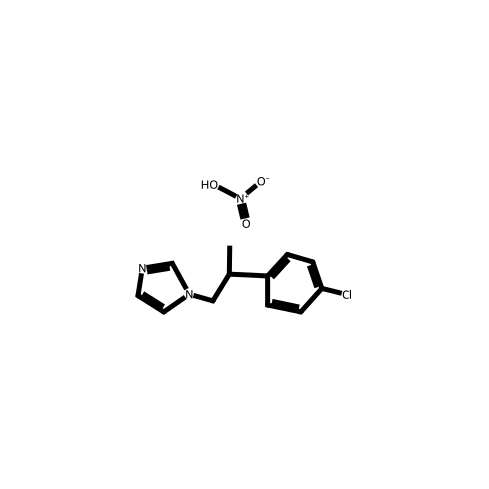 CC(Cn1ccnc1)c1ccc(Cl)cc1.O=[N+]([O-])O